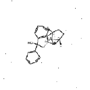 CCC[N+]1(C)[C@@H]2CC[C@H]1C[C@@H](CC(C#N)(c1ccccc1)c1ccccc1)C2